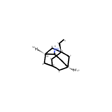 CC[C@]12CC3C[C@H](C1)C(N)[C@@H](C3)C2